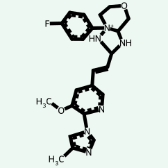 COc1cc(C=CC2NC3COCC[N+]3(c3ccc(F)cc3)N2)cnc1-n1cnc(C)c1